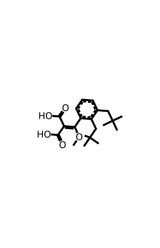 COC(=C(C(=O)O)C(=O)O)c1cccc(CC(C)(C)C)c1CC(C)(C)C